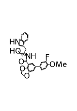 COc1ccc(-c2cc3c(c(C(=O)N[C@@H](CO)Cc4c[nH]c5ccccc45)c2)OCCO3)cc1F